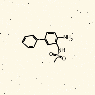 CS(=O)(=O)Nc1cc(-c2ccccc2)ccc1N